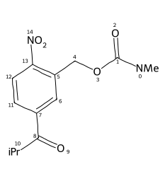 CNC(=O)OCc1cc(C(=O)C(C)C)ccc1[N+](=O)[O-]